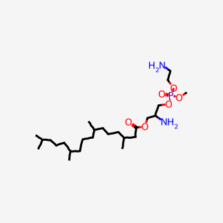 COP(=O)(OCCN)OCC(N)COC(=O)CC(C)CCCC(C)CCCC(C)CCCC(C)C